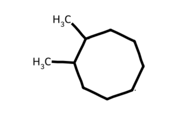 C[C]1CCC[CH]CCC1C